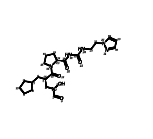 O=CN(O)C[C@@H](CC1CCCC1)C(=O)N1CCC[C@H]1C(=O)NC(=O)NCCn1cccn1